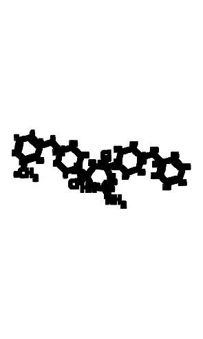 Cc1cccc(CN2CCN(C3(Cl)CC(Cl)(N4CCN(Cc5ccccc5)CC4)N=C(N)N3)CC2)c1